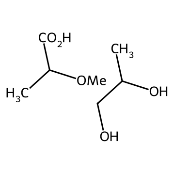 CC(O)CO.COC(C)C(=O)O